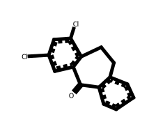 O=C1c2ccccc2CCc2c(Cl)cc(Cl)cc21